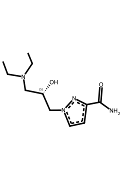 CCN(CC)C[C@H](O)Cn1ccc(C(N)=O)n1